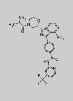 CC(C)C(=O)N1CCO[C@H](c2nc(-c3ccc(C(=O)Nc4cc(C(F)(F)F)ccn4)cc3)c3c(N)nccn23)C1